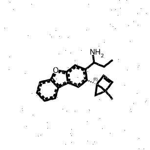 CCC(N)c1cc2oc3ccccc3c2cc1[C@]12C=CC1(C)C2